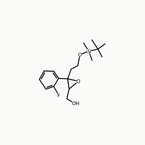 CC(C)(C)[Si](C)(C)OCCC1(c2ccccc2F)OC1CO